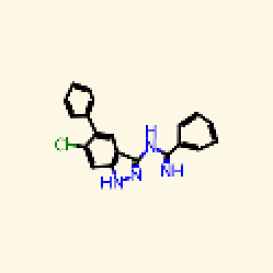 N=C(Nc1n[nH]c2cc(Cl)c(-c3ccccc3)cc12)c1ccccc1